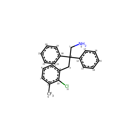 NCC(Cc1cccc(C(F)(F)F)c1Cl)(c1ccccc1)c1ccccc1